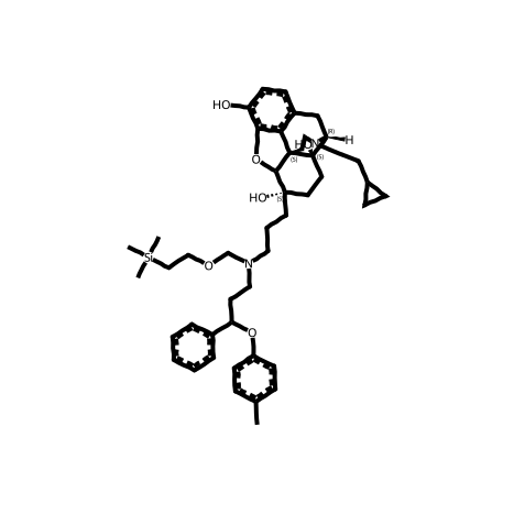 Cc1ccc(OC(CCN(CCC[C@]2(O)CC[C@@]3(O)[C@H]4Cc5ccc(O)c6c5[C@@]3(CCN4CC3CC3)C2O6)COCC[Si](C)(C)C)c2ccccc2)cc1